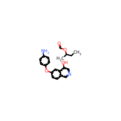 CCC(C)OC=O.Nc1ccc(Oc2ccc3cncc(O)c3c2)cc1